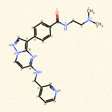 CN(C)CCNC(=O)c1ccc(-c2cnn3ccc(NCc4cccnc4)nc23)cc1